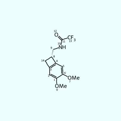 COc1cc2c(cc1OC)[C@@H](CNC(=O)C(F)(F)F)C2